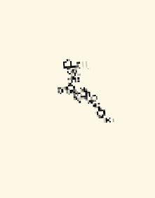 CC(COC(=O)O[C@H]1C[C@H](n2cnc3c(NC(=O)COc4ccc(C(C)(C)C)cc4)ncnc32)O[C@@H]1CO)c1ccccc1[N+](=O)[O-]